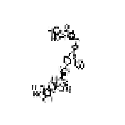 Cc1cc(OC2C(C)(C)C(NC(=O)c3cnc(N4CCC(CN(CCN5CCOCC5)C5CC(Oc6ccc7c(c6)C(=O)N([C@@H]6CCC(=O)NC6=O)C7=O)C5)CC4)nc3)C2(C)C)cc(C)c1C#N